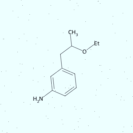 CCOC(C)Cc1cccc(N)c1